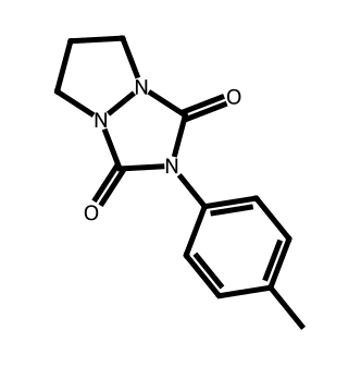 Cc1ccc(-n2c(=O)n3n(c2=O)CCC3)cc1